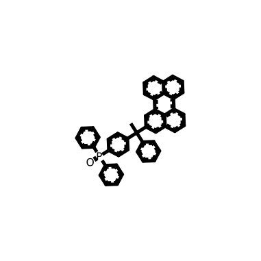 CC(c1ccccc1)(c1ccc(P(=O)(c2ccccc2)c2ccccc2)cc1)c1cc2cccc3c4cccc5cccc(c(c1)c23)c54